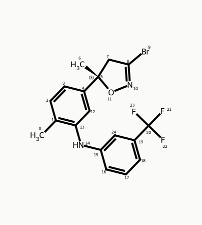 Cc1ccc([C@]2(C)CC(Br)=NO2)cc1Nc1cccc(C(F)(F)F)c1